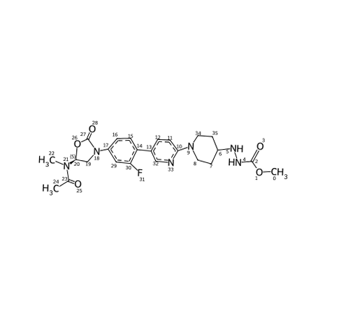 COC(=O)NNC1CCN(c2ccc(-c3ccc(N4C[C@@H](N(C)C(C)=O)OC4=O)cc3F)cn2)CC1